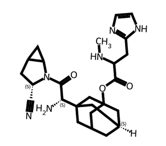 CNC(Cc1ncc[nH]1)C(=O)OC12CC3C[C@H](C1)CC([C@H](N)C(=O)N1C4CC4C[C@H]1C#N)(C3)C2